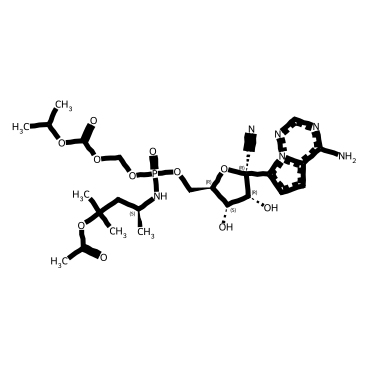 CC(=O)OC(C)(C)C[C@H](C)NP(=O)(OCOC(=O)OC(C)C)OC[C@H]1O[C@@](C#N)(c2ccc3c(N)ncnn23)[C@H](O)[C@@H]1O